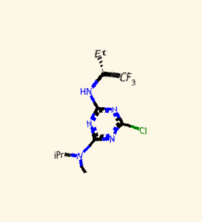 CC[C@@H](Nc1nc(Cl)nc(N(C)C(C)C)n1)C(F)(F)F